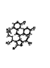 COC[C@H](C)n1c(Br)nc(C(=O)O)c1/C(=N/c1cc(Cl)ccc1C)c1ccc(Cl)cc1